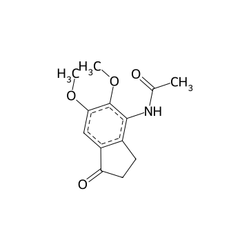 COc1cc2c(c(NC(C)=O)c1OC)CCC2=O